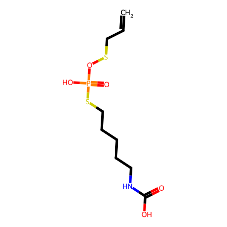 C=CCSOP(=O)(O)SCCCCCNC(=O)O